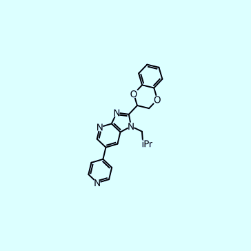 CC(C)Cn1c(C2COc3ccccc3O2)nc2ncc(-c3ccncc3)cc21